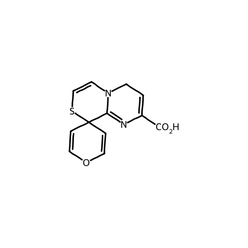 O=C(O)C1=CCN2C=CSC3(C=COC=C3)C2=N1